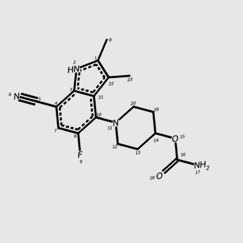 Cc1[nH]c2c(C#N)cc(F)c(N3CCC(OC(N)=O)CC3)c2c1C